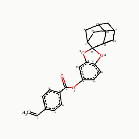 C=Cc1ccc(C(=O)Oc2ccc3c(c2)OC2(O3)C3CC4CC(C3)CC2C4)cc1